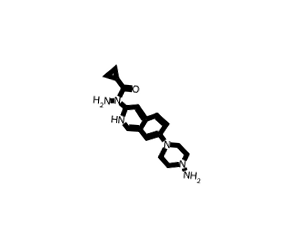 NN1CCN(c2ccc3c(c2)=CNC(N(N)C(=O)C2CC2)C=3)CC1